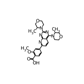 COc1cc(-c2ccc3c(N4CCOC[C@@H]4C)nc(N4CCOC[C@@H]4C)nc3n2)ccc1C(=O)O